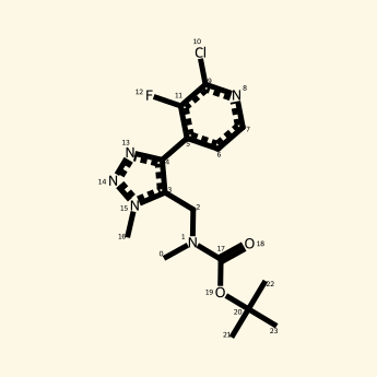 CN(Cc1c(-c2ccnc(Cl)c2F)nnn1C)C(=O)OC(C)(C)C